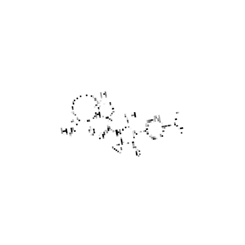 N[C@H]1CCCC[C@H]2CC[C@@H](C(=O)N3C(O)N(c4ccc(C(F)F)nc4)C(=O)C34CC4)N2C1=O